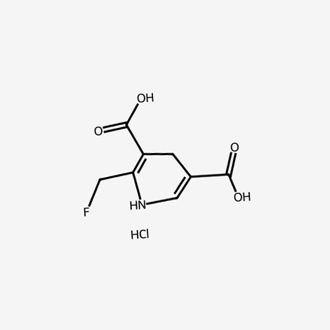 Cl.O=C(O)C1=CNC(CF)=C(C(=O)O)C1